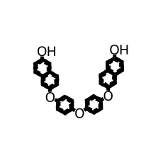 Oc1ccc2cc(Oc3ccc(Oc4ccc(Oc5ccc6cc(O)ccc6c5)cc4)cc3)ccc2c1